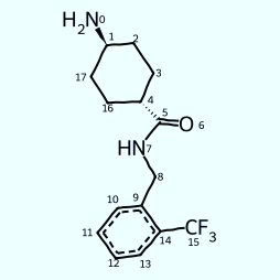 N[C@H]1CC[C@H](C(=O)NCc2ccccc2C(F)(F)F)CC1